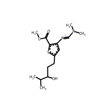 COC(=O)c1sc(CCC(O)C(C)C)cc1/N=C/N(C)C